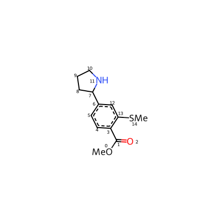 COC(=O)c1ccc(C2CCCN2)cc1SC